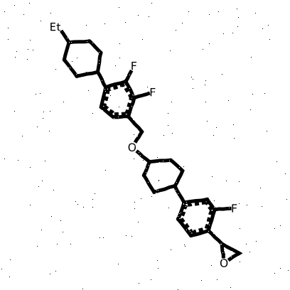 CCC1CCC(c2ccc(COC3CCC(c4ccc(C5CO5)c(F)c4)CC3)c(F)c2F)CC1